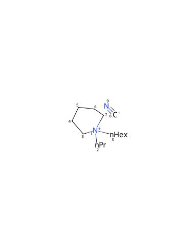 CCCCCC[N+]1(CCC)CCCCC1.[C-]#N